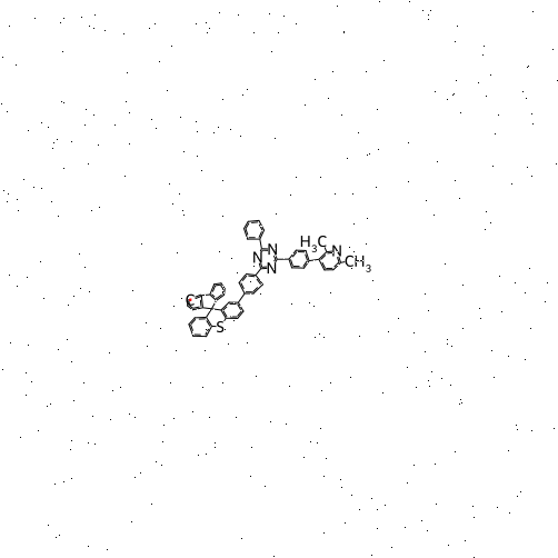 Cc1ccc(-c2ccc(-c3nc(-c4ccccc4)nc(-c4ccc(-c5ccc6c(c5)C5(c7ccccc7S6)c6ccccc6-c6ccccc65)cc4)n3)cc2)c(C)n1